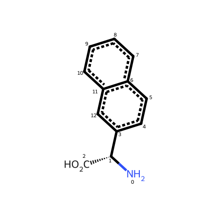 N[C@H](C(=O)O)c1ccc2ccccc2c1